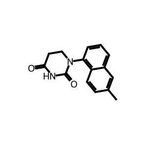 Cc1ccc2c(N3CCC(=O)NC3=O)cccc2c1